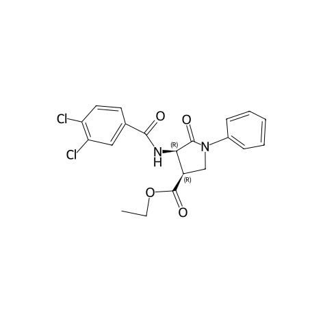 CCOC(=O)[C@@H]1CN(c2ccccc2)C(=O)[C@@H]1NC(=O)c1ccc(Cl)c(Cl)c1